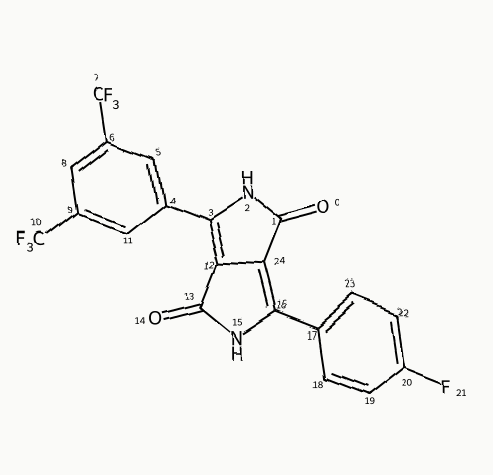 O=C1NC(c2cc(C(F)(F)F)cc(C(F)(F)F)c2)=C2C(=O)NC(c3ccc(F)cc3)=C12